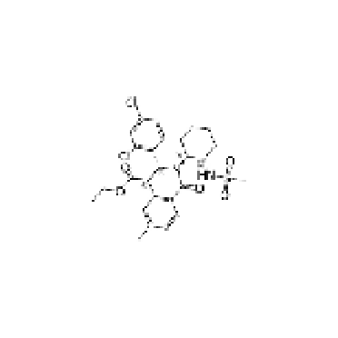 CCOC(=O)[C@@H]1c2cc(C)ccc2C(=O)N([C@H]2CCCC[C@@H]2NS(C)(=O)=O)[C@H]1c1ccc(Cl)cc1Cl